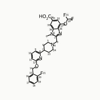 Cn1c(CN2CCC(c3cccc(OCc4ccccc4F)n3)CC2)nc2c(OC(F)F)cc(C(=O)O)cc21